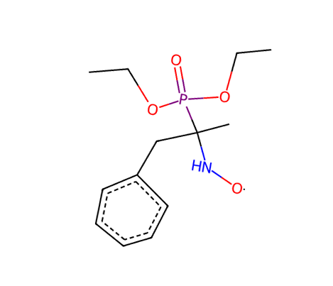 CCOP(=O)(OCC)C(C)(Cc1ccccc1)N[O]